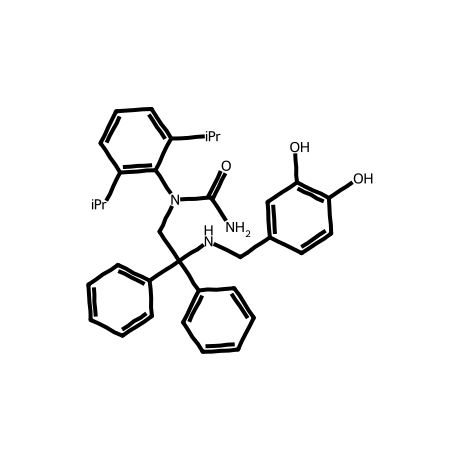 CC(C)c1cccc(C(C)C)c1N(CC(NCc1ccc(O)c(O)c1)(c1ccccc1)c1ccccc1)C(N)=O